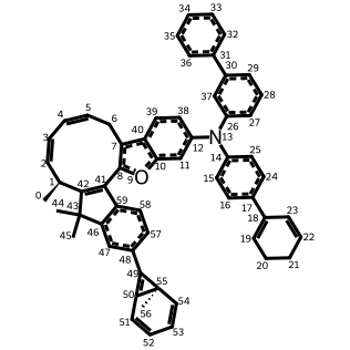 C[C@H]1/C=C\C=C/Cc2c(oc3cc(N(c4ccc(C5=CCCC=C5)cc4)c4cccc(-c5ccccc5)c4)ccc23)C2=C1C(C)(C)c1cc(C3=C4C=CC=C[C@@]43C)ccc12